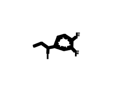 CCC(I)c1ccc(F)c(F)c1